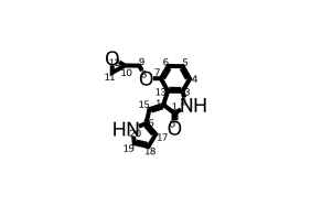 O=C1Nc2cccc(OCC3CO3)c2C1=Cc1ccc[nH]1